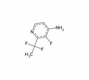 CC(F)(F)c1nccc(N)c1F